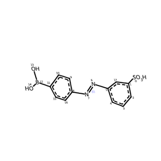 O=S(=O)(O)c1cccc(/N=N/c2ccc(B(O)O)cc2)c1